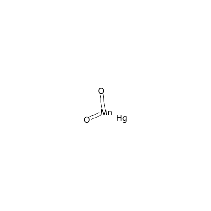 [Hg].[O]=[Mn]=[O]